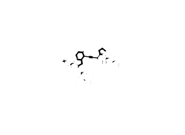 CC(C)(C)OC(=O)Oc1cc2c(C#CC(O)c3cccn3C(=O)OC(C)(C)C)c(F)ccc2n1C(=O)OC(C)(C)C